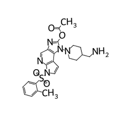 CC(=O)Oc1nc2cnc3c(ccn3S(=O)(=O)c3ccccc3C)c2n1N1CCC(CN)CC1